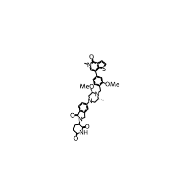 COc1cc(-c2cn(C)c(=O)c3ccsc23)cc(OC)c1CN1[C@H](C)CN(c2ccc3c(c2)CN(C2CCC(=O)NC2=O)C3=O)C[C@H]1C